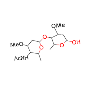 COC1CC(OC2C(C)OC(O)CC2OC)OC(C)C1NC(C)=O